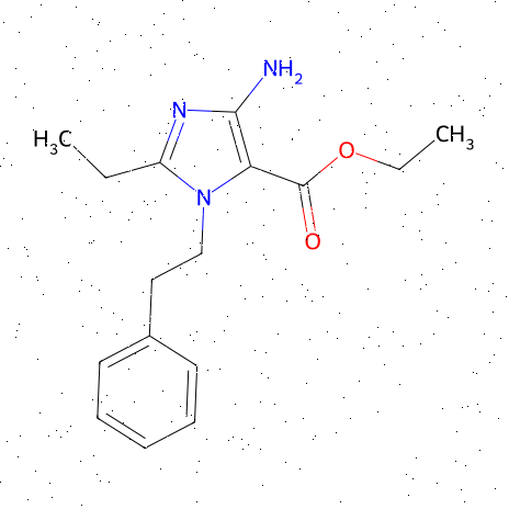 CCOC(=O)c1c(N)nc(CC)n1CCc1ccccc1